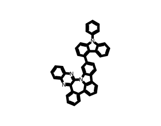 c1ccc(-n2c3ccccc3c3c(-c4ccc5c6cccc7c6n(c5c4)-c4nc5ccccc5nc4-c4ccccc4-7)cccc32)cc1